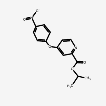 CC(C)OC(=O)c1cc(Oc2ccc([N+](=O)[O-])cc2)ccn1